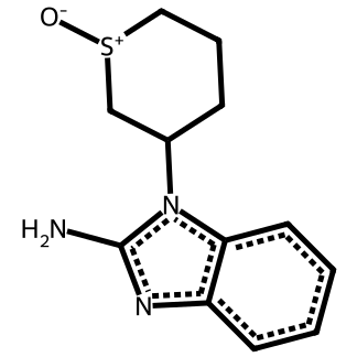 Nc1nc2ccccc2n1C1CCC[S+]([O-])C1